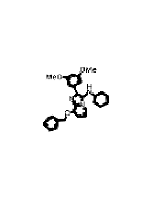 COc1cc(OC)cc(-c2nc3c(OCc4ccccc4)cccn3c2NC2CCCCC2)c1